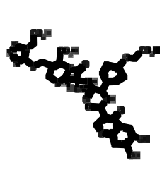 CO[C@@]1(NC(=O)C(NC(=O)c2coc3cc(O)c(O)cc3c2=O)c2ccc(OCC(=O)O)cc2)C(=O)N2C(C(=O)O)=C(CSc3nnnn3CC(=O)O)CS[C@@H]21